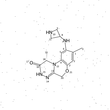 Cc1cc2c(cc1NC1CNC1)N1C(=NNC(=O)[C@@H]1C)CO2